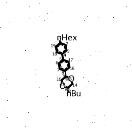 CCCCCCc1ccc(-c2ccc([C@@H]3CO[C@@H](CCCC)CO3)cc2)cc1